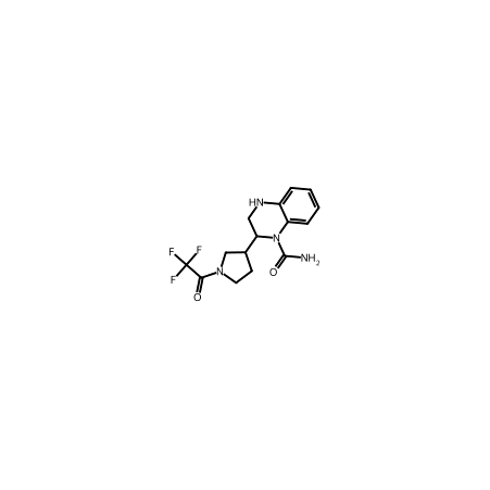 NC(=O)N1c2ccccc2NCC1C1CCN(C(=O)C(F)(F)F)C1